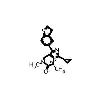 C[C@@H]1C(=O)N(C)Cc2c(-c3ccc4sccc4c3)nc(C3CC3)n21